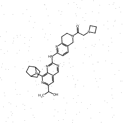 CC(O)c1cc2cnc(Nc3ccc4c(n3)CCN(C(=O)CN3CCC3)C4)nc2c(N2C3CCC2CC3)n1